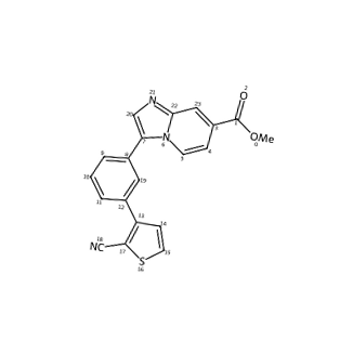 COC(=O)c1ccn2c(-c3cccc(-c4ccsc4C#N)c3)cnc2c1